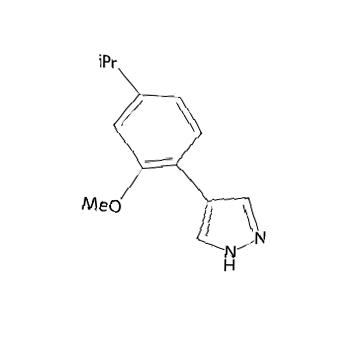 COc1cc(C(C)C)ccc1-c1cn[nH]c1